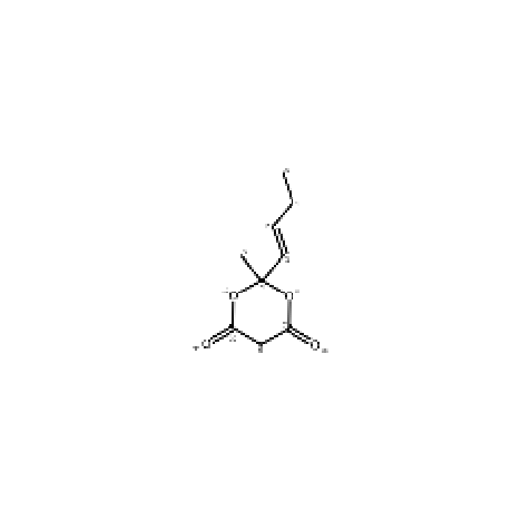 CC/C=C/C1(C)OC(=O)CC(=O)O1